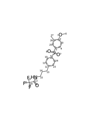 COc1ccc(S(=O)(=O)c2ccc(CCCNC(=O)C(F)(F)F)cc2)cc1C